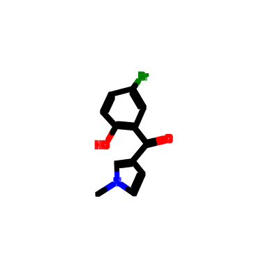 Cn1ccc(C(=O)c2cc(Br)ccc2O)c1